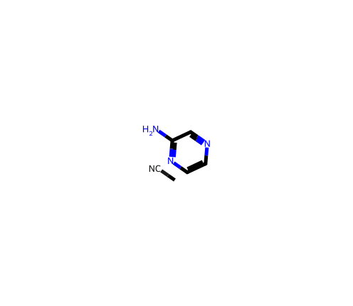 CC#N.Nc1cnccn1